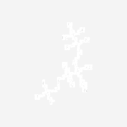 N#CC(Cl)(CCC(F)(F)C(F)(F)F)S(=O)(=O)CCC(F)(F)F